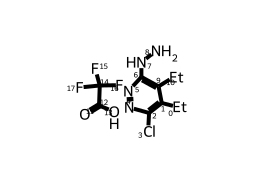 CCc1c(Cl)nnc(NN)c1CC.O=C(O)C(F)(F)F